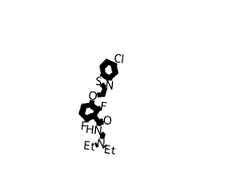 CCN(CC)CNC(=O)c1c(F)ccc(OCc2nc3cc(Cl)ccc3s2)c1F